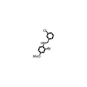 COc1ccc(NCc2cccc(Cl)c2)c(Br)c1